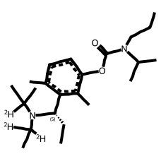 [2H]C([2H])(C)N([C@@H](CC)c1c(C)ccc(OC(=O)N(CCC)C(C)C)c1C)C([2H])(C)C